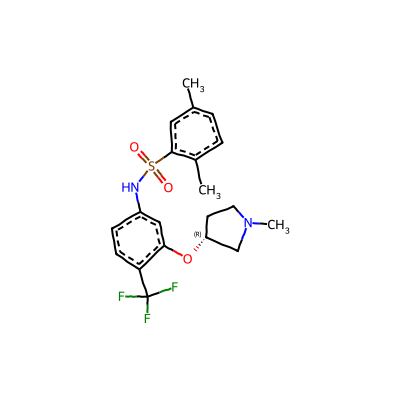 Cc1ccc(C)c(S(=O)(=O)Nc2ccc(C(F)(F)F)c(O[C@@H]3CCN(C)C3)c2)c1